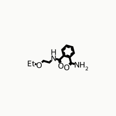 CCOCCNC(=O)c1ccccc1C(N)=O